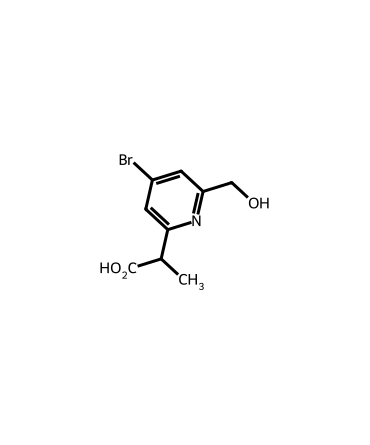 CC(C(=O)O)c1cc(Br)cc(CO)n1